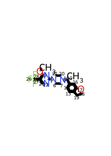 COc1nc(N2CCN(C(C)c3ccc4c(c3)OCC4)CC2)ncc1C(F)(F)F